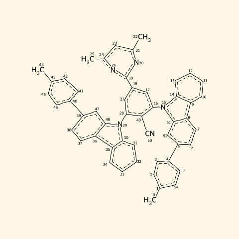 Cc1ccc(-c2ccc3c4ccccc4n(-c4cc(-c5nc(C)cc(C)n5)cc(-n5c6ccccc6c6ccc(-c7ccc(C)cc7)cc65)c4C#N)c3c2)cc1